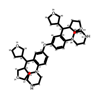 c1cc(N2CCNCC2)c(C(C2CCOC2)C2CCOC2)cc1Oc1ccc(N2CCNCC2)c(C(C2CCOC2)C2CCOC2)c1